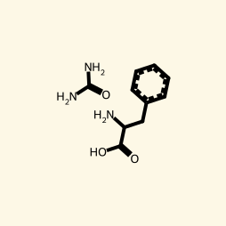 NC(Cc1ccccc1)C(=O)O.NC(N)=O